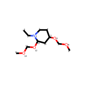 [CH2]CN1CCC(OCOC)CC1OCOC